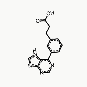 O=C(O)CCc1cccc(-c2ncnc3nc[nH]c23)c1